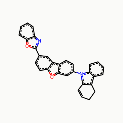 C1=Cc2c(c3ccccc3n2-c2ccc3c(c2)oc2ccc(-c4nc5ccccc5o4)cc23)CC1